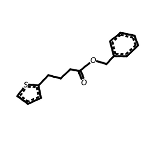 O=C(CCCc1cccs1)OCc1ccccc1